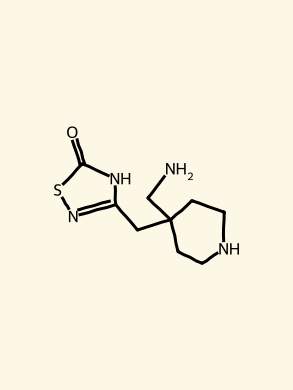 NCC1(Cc2nsc(=O)[nH]2)CCNCC1